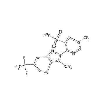 CCCS(=O)(=O)c1cc(C(F)(F)F)cnc1-c1nc2cc(C(C)(F)F)cnc2n1C